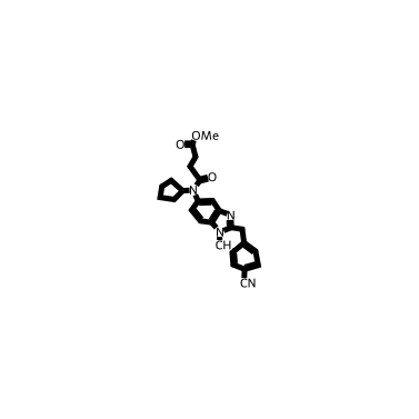 COC(=O)CCC(=O)N(c1ccc2c(c1)nc(Cc1ccc(C#N)cc1)n2C)C1CCCC1